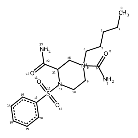 CCCCC[N+]1(C(N)=O)CCN(S(=O)(=O)c2ccccc2)C(C(N)=O)C1